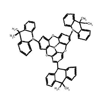 CC1(C)c2ccccc2C(c2cc3c4c(c2)Oc2cc(N5c6ccccc6C(C)(C)c6ccccc65)cc5c2B4c2c(cc(N4c6ccccc6C(C)(C)c6ccccc64)cc2O5)O3)c2ccccc21